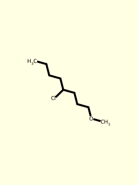 CCCCC(Cl)CCCOC